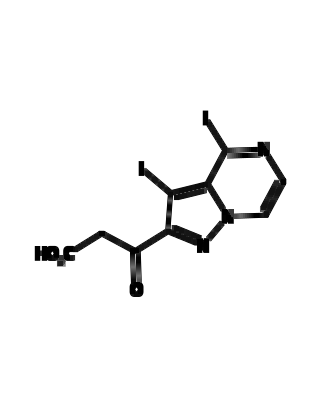 O=C(O)CC(=O)c1nn2ccnc(I)c2c1I